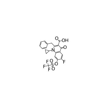 O=C(O)c1c(Cc2ccccc2)n(C2CC2)c2cc(OS(=O)(=O)C(F)(F)F)c(F)cc2c1=O